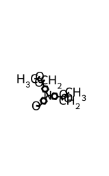 C=C(OC(C)=O)c1ccc(N(c2ccc(C=O)cc2)c2ccc(C(=C)OC(C)=O)cc2)cc1